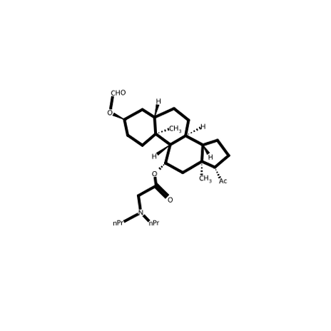 CCCN(CCC)CC(=O)O[C@H]1C[C@]2(C)[C@@H](C(C)=O)CC[C@H]2[C@@H]2CC[C@H]3C[C@H](OC=O)CC[C@]3(C)[C@H]21